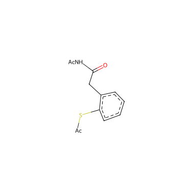 CC(=O)NC(=O)Cc1ccccc1SC(C)=O